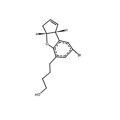 OCCCCc1cc(Br)cc2c1O[C@@H]1CC=C[C@H]21